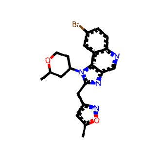 Cc1cc(Cc2nc3cnc4ccc(Br)cc4c3n2C2CCOC(C)C2)no1